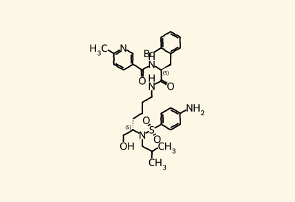 Cc1ccc(C(=O)N[C@@H](Cc2ccccc2Br)C(=O)NCCCC[C@@H](CO)N(CC(C)C)S(=O)(=O)c2ccc(N)cc2)cn1